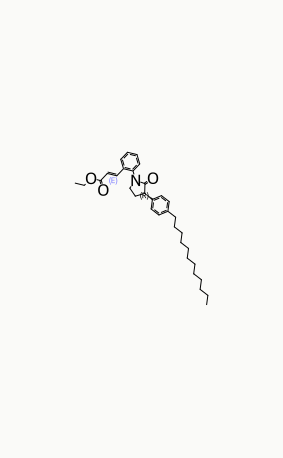 CCCCCCCCCCCCc1ccc([C@H]2CCN(c3ccccc3/C=C/C(=O)OCC)C2=O)cc1